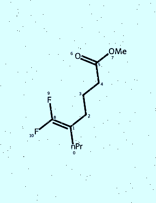 CCCC(CCCC(=O)OC)=C(F)F